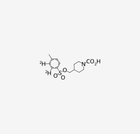 [2H]c1c(C)ccc(S(=O)(=O)OCC2CCN(C(=O)O)CC2)c1[2H]